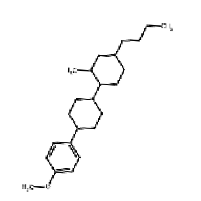 CCCCC1CCC(C2CCC(c3ccc(OC)cc3)CC2)C(C)C1